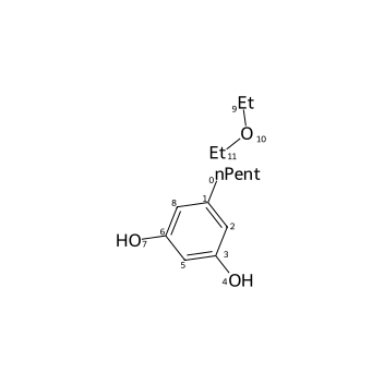 CCCCCc1cc(O)cc(O)c1.CCOCC